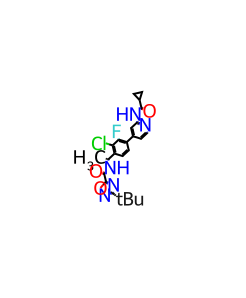 C[C@H](NC(=O)c1nc(C(C)(C)C)no1)c1ccc(-c2ccnc(NC(=O)C3CC3)c2)c(F)c1Cl